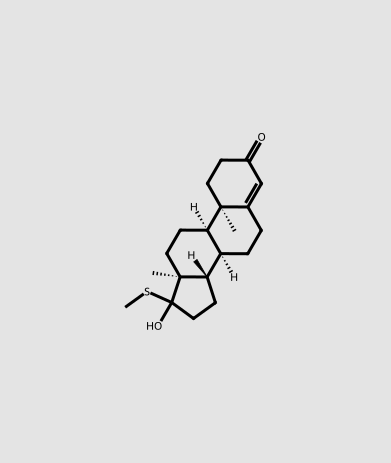 CSC1(O)CC[C@H]2[C@@H]3CCC4=CC(=O)CC[C@]4(C)[C@@H]3CC[C@@]21C